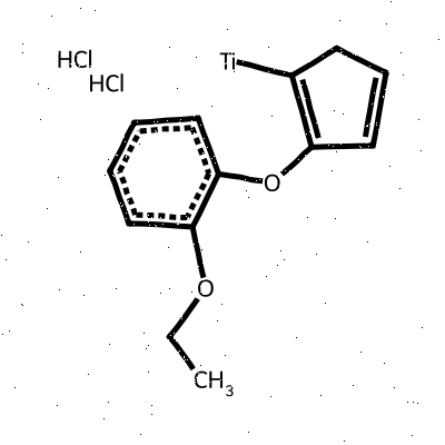 CCOc1ccccc1OC1=[C]([Ti])CC=C1.Cl.Cl